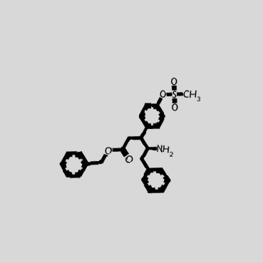 CS(=O)(=O)Oc1ccc(C(CC(=O)OCc2ccccc2)C(N)Cc2ccccc2)cc1